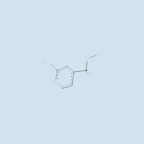 C=C(OC(C)C)c1ccnc(C)c1